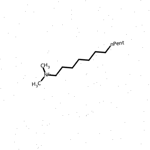 CCCCCCCCCCCC[N+](C)C